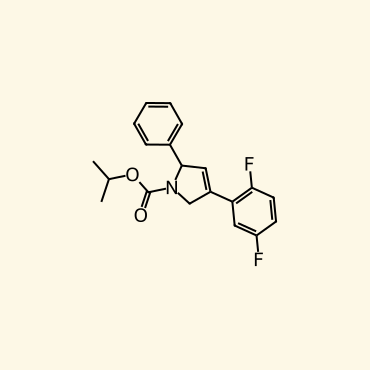 CC(C)OC(=O)N1CC(c2cc(F)ccc2F)=CC1c1ccccc1